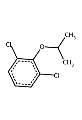 CC(C)Oc1c(Cl)[c]ccc1Cl